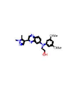 COc1cc(OC)cc(N(CCO)c2ccc3ncc(-c4cnn(C)c4C)nc3c2)c1